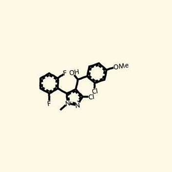 COc1ccc(C(O)c2c(Cl)nn(C)c2-c2c(F)cccc2F)c(Cl)c1